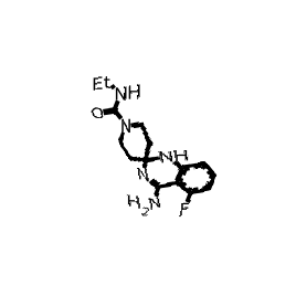 CCNC(=O)N1CCC2(CC1)N=C(N)c1c(F)cccc1N2